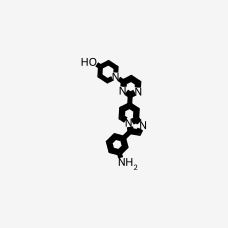 Nc1cccc(-c2cnc3cc(-c4nccc(N5CCC(O)CC5)n4)ccn23)c1